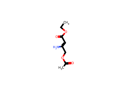 CCOC(=O)/C=C(\N)COC(C)=O